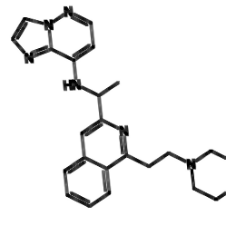 CC(Nc1ccnn2ccnc12)c1cc2ccccc2c(CCN2CCOCC2)n1